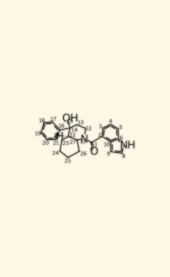 O=C(c1cccc2[nH]ccc12)N1CC[C@@](O)(c2ccccc2)[C@@H]2CCCCC21